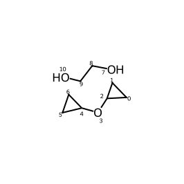 C1CC1OC1CC1.OCCO